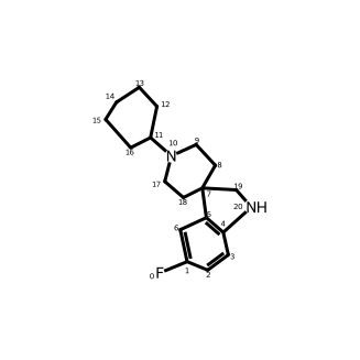 Fc1ccc2c(c1)C1(CCN(C3CCCCC3)CC1)CN2